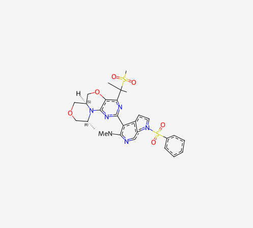 CNc1ncc2c(ccn2S(=O)(=O)c2ccccc2)c1-c1nc2c(c(C(C)(C)S(C)(=O)=O)n1)OC[C@@H]1COC[C@@H](C)N21